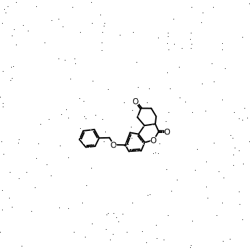 O=C1CCC2C(=O)Oc3ccc(OCc4ccccc4)cc3C2C1